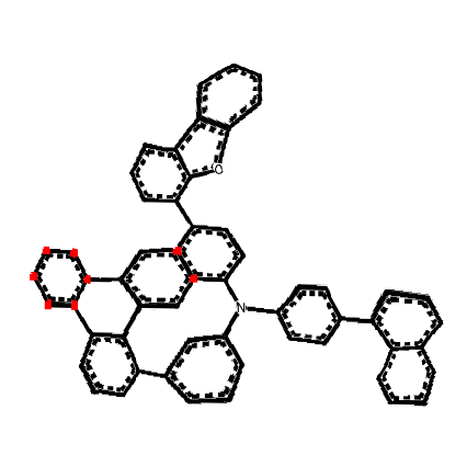 c1ccc(-c2ccccc2-c2c(-c3ccccc3)cccc2-c2cccc(N(c3ccc(-c4cccc5ccccc45)cc3)c3ccc(-c4cccc5c4oc4ccccc45)cc3)c2)cc1